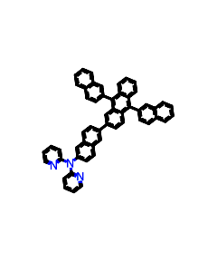 c1ccc(N(c2ccc3cc(-c4ccc5c(-c6ccc7ccccc7c6)c6ccccc6c(-c6ccc7ccccc7c6)c5c4)ccc3c2)c2ccccn2)nc1